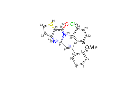 COc1ccccc1/C=C/c1nc2ccsc2c(=O)n1-c1ccccc1Cl